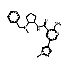 CN(Cc1ccccc1)C1CCCC1NC(=O)c1cc(-c2cnn(C)c2)cnc1N